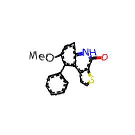 COc1ccc2[nH]c(=O)c3sccc3c2c1-c1ccccc1